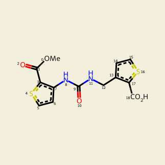 COC(=O)c1sccc1NC(=O)NCc1ccsc1C(=O)O